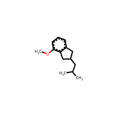 COc1cccc2c1CC(CC(C)C)C2